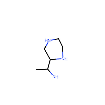 CC([NH])C1CNCCN1